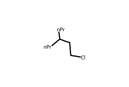 CCCC(CCC)CCCl